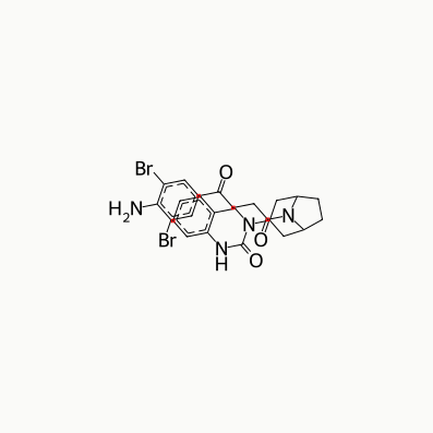 Nc1c(Br)cc(C(=O)CCC(=O)N2C3CCC2CC(N2Cc4ccccc4NC2=O)C3)cc1Br